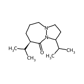 CC(C)C1CCN2CCC[C@H](C(C)C)C(=O)N12